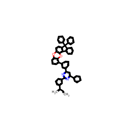 C=CC(=C)c1cccc(-c2nc(-c3ccccc3)cc(-c3cccc(-c4cccc5c4Oc4c(ccc6c4-c4ccccc4C6(c4ccccc4)c4ccccc4)O5)c3)n2)c1